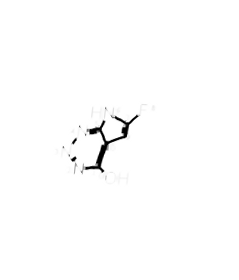 Oc1nnnc2[nH]c(F)cc12